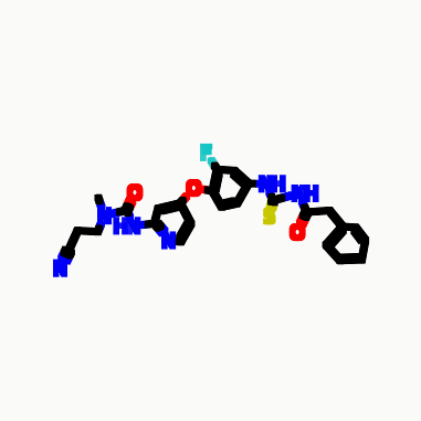 CN(CCC#N)C(=O)Nc1cc(Oc2ccc(NC(=S)NC(=O)Cc3ccccc3)cc2F)ccn1